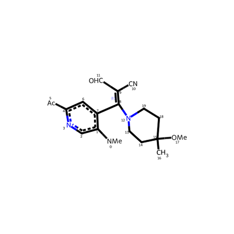 CNc1cnc(C(C)=O)cc1/C(=C(/C#N)C=O)N1CCC(C)(OC)CC1